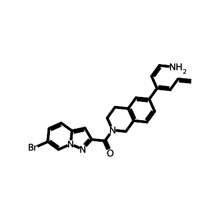 C=C/C=C(\C=C/N)c1ccc2c(c1)CCN(C(=O)c1cc3ccc(Br)cn3n1)C2